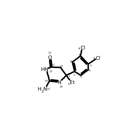 CCC1(c2ccc(Cl)c(Cl)c2)CC(=O)NC(N)=N1